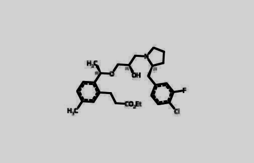 CCOC(=O)CCc1cc(C)ccc1[C@@H](C)OC[C@H](O)CN1CCC[C@H]1Cc1ccc(Cl)c(F)c1